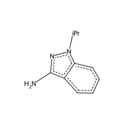 CC(C)n1nc(N)c2ccccc21